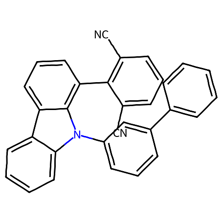 N#Cc1cccc(C#N)c1-c1cccc2c3ccccc3n(-c3cccc(-c4ccccc4)c3)c12